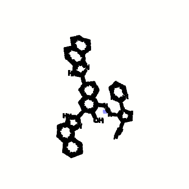 N#Cc1cnn(-c2ncccn2)c1/N=N/c1c(O)c(-c2nc3c(ccc4ccccc43)[nH]2)cc2cc(-c3nc4c(ccc5ccccc54)[nH]3)ccc12